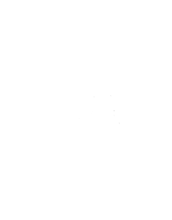 [CH2]CCCC1=CC(C)(C)CC1